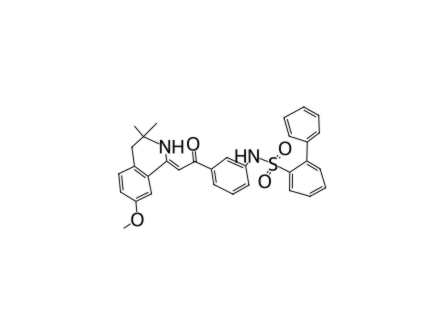 COc1ccc2c(c1)C(=CC(=O)c1cccc(NS(=O)(=O)c3ccccc3-c3ccccc3)c1)NC(C)(C)C2